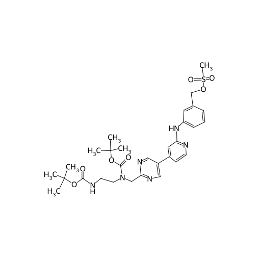 CC(C)(C)OC(=O)NCCN(Cc1ncc(-c2ccnc(Nc3cccc(COS(C)(=O)=O)c3)c2)cn1)C(=O)OC(C)(C)C